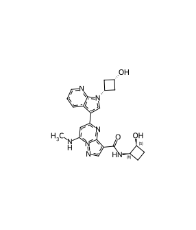 CNc1cc(-c2cn([C@H]3C[C@@H](O)C3)c3ncccc23)nc2c(C(=O)N[C@@H]3CC[C@@H]3O)cnn12